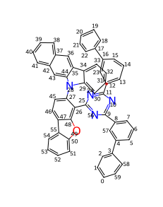 c1ccc(-c2cccc(-c3nc(-c4cccc(-c5ccccc5)c4)nc(-c4c(-n5c6ccccc6c6cc7ccccc7cc65)ccc5c4oc4ccccc45)n3)c2)cc1